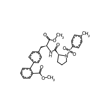 COC(=O)c1ccccc1-c1ccc(C[C@H](NC(=O)[C@@H]2CCCN2S(=O)(=O)c2ccc(C)cc2)C(=O)OC)cc1